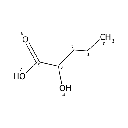 CCCC(O)C(=O)O